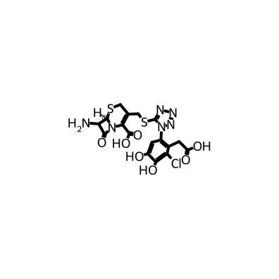 NC1C(=O)N2C(C(=O)O)=C(CSc3nnnn3-c3cc(O)c(O)c(Cl)c3CC(=O)O)CS[C@H]12